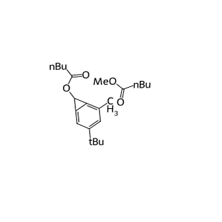 CCCCC(=O)OC.CCCCC(=O)OC1c2cc(C(C)(C)C)cc(C)c21